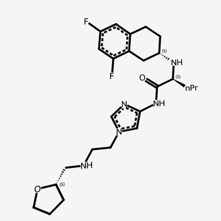 CCC[C@H](N[C@H]1CCc2cc(F)cc(F)c2C1)C(=O)Nc1cn(CCNC[C@@H]2CCCO2)cn1